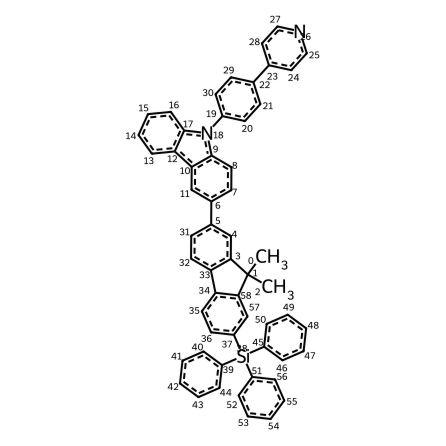 CC1(C)c2cc(-c3ccc4c(c3)c3ccccc3n4-c3ccc(-c4ccncc4)cc3)ccc2-c2ccc([Si](c3ccccc3)(c3ccccc3)c3ccccc3)cc21